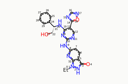 CCn1[nH]c(=O)c2ccc(Nc3ncc(-c4ncno4)c(N[C@H](CO)c4ccccc4)n3)nc21